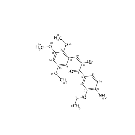 CCOc1cc(C(=O)/C(Br)=C\c2cc(OC)cc(OC)c2OC)ccc1N